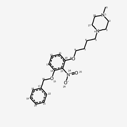 CN1CCN(CCCCOc2cccc(OCc3ccccc3)c2[N+](=O)[O-])CC1